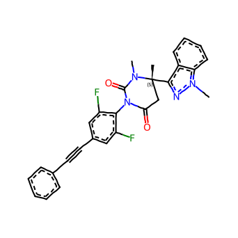 CN1C(=O)N(c2c(F)cc(C#Cc3ccccc3)cc2F)C(=O)C[C@@]1(C)c1nn(C)c2ccccc12